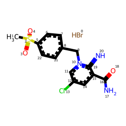 Br.CS(=O)(=O)c1ccc(Cn2cc(Cl)cc(C(N)=O)c2=N)cc1